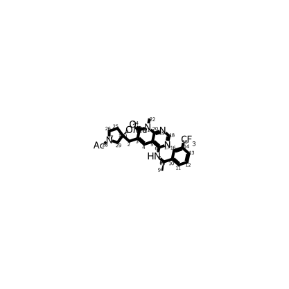 CO[C@@]1(Cc2cc3c(N[C@H](C)c4cccc(C(F)(F)F)c4)ncnc3n(C)c2=O)CCN(C(C)=O)C1